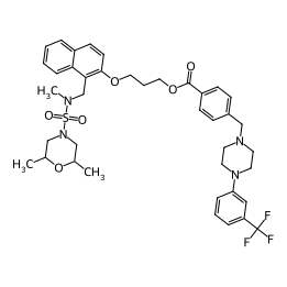 CC1CN(S(=O)(=O)N(C)Cc2c(OCCCOC(=O)c3ccc(CN4CCN(c5cccc(C(F)(F)F)c5)CC4)cc3)ccc3ccccc23)CC(C)O1